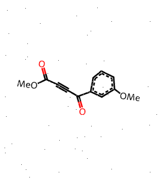 COC(=O)C#CC(=O)c1cccc(OC)c1